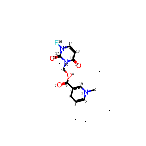 CN1C=CCC(C(=O)OCn2c(=O)ccn(F)c2=O)=C1